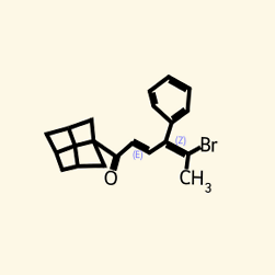 C/C(Br)=C(\C=C\C(=O)C12CC3CC4CC(C1)C432)c1ccccc1